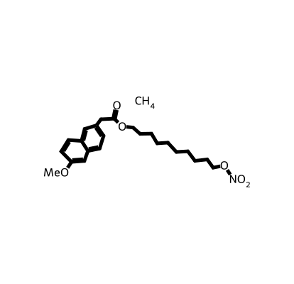 C.COc1ccc2cc(CC(=O)OCCCCCCCCCCO[N+](=O)[O-])ccc2c1